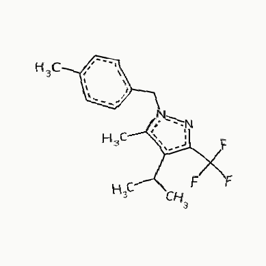 Cc1ccc(Cn2nc(C(F)(F)F)c(C(C)C)c2C)cc1